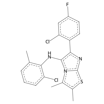 Cc1cccc(Cl)c1Nc1c(-c2ccc(F)cc2Cl)nc2sc(C)c(C)n12